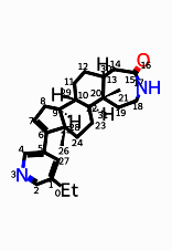 CCc1cncc(C2=CC[C@H]3[C@@H]4CC[C@H]5CC(=O)NCC[C@]5(C)[C@H]4CC[C@]23C)c1